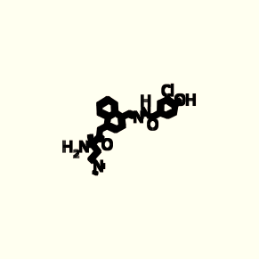 CN(C)CCC(C)(N)C(=O)Cc1ccc(/C=N/NC(=O)c2ccc(O)c(Cl)c2)c2ccccc12